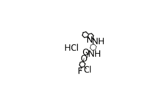 Cl.O=C(COc1ccc(F)c(Cl)c1)N[C@H]1CC[C@@H](Nc2ccc3ccccc3n2)CC1